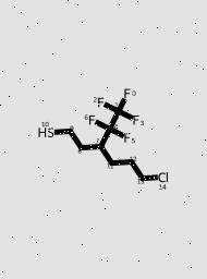 FC(F)(F)C(F)(F)C(CCS)CCCCl